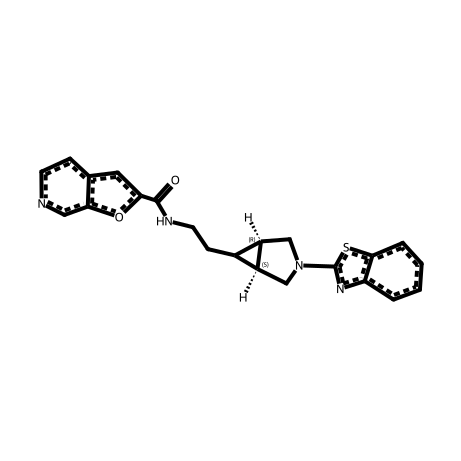 O=C(NCCC1[C@H]2CN(c3nc4ccccc4s3)C[C@@H]12)c1cc2ccncc2o1